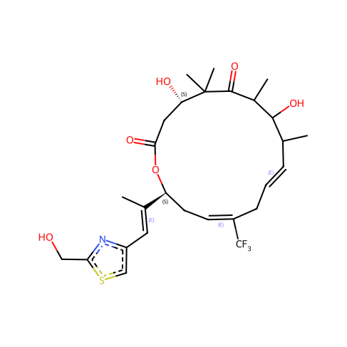 C/C(=C\c1csc(CO)n1)[C@@H]1C/C=C(/C(F)(F)F)C/C=C/C(C)C(O)C(C)C(=O)C(C)(C)[C@@H](O)CC(=O)O1